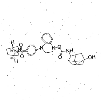 CS(=O)(=O)N1[C@@H]2CC[C@@H]1CN(c1ccc(N3CCN(OC(=O)NC4C5CC6CC4CC(O)(C6)C5)c4ccccc43)cc1)C2